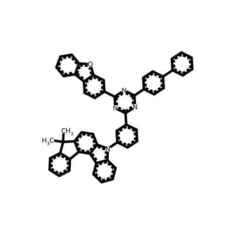 CC1(C)c2ccccc2-c2c1ccc1c2c2ccccc2n1-c1cccc(-c2nc(-c3ccc(-c4ccccc4)cc3)nc(-c3ccc4c(c3)oc3ccccc34)n2)c1